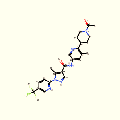 CC(=O)N1CCC(c2ncc(NC(=O)c3cnn(-c4ccc(C(F)(F)F)cn4)c3C)cc2C)CC1